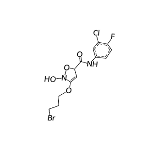 O=C(Nc1ccc(F)c(Cl)c1)C1C=C(OCCCBr)N(O)O1